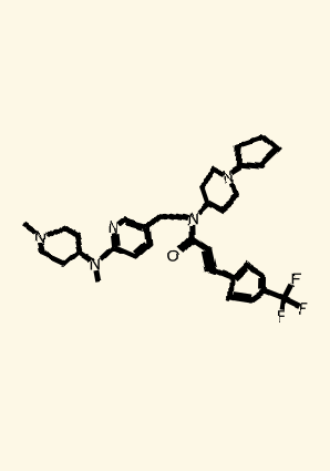 CN1CCC(N(C)c2ccc(CN(C(=O)C=Cc3ccc(C(F)(F)F)cc3)C3CCN(C4CCCC4)CC3)cn2)CC1